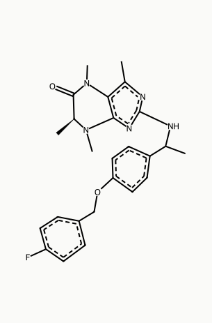 Cc1nc(NC(C)c2ccc(OCc3ccc(F)cc3)cc2)nc2c1N(C)C(=O)[C@H](C)N2C